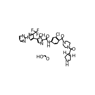 Cn1c(-c2cn(-c3ncccn3)nc2C(F)(F)F)cnc1C(=O)Nc1ccc(C(=O)N2CCN(C(=O)C3[C@H]4CNC[C@@H]34)CC2)c(Cl)c1.O=CO